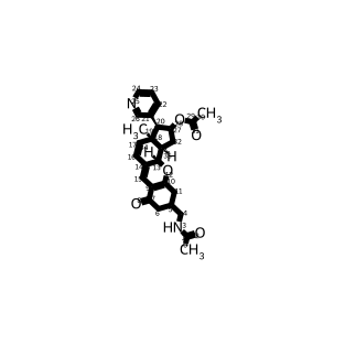 CC(=O)NCC1CC(=O)C2=C(C1)O[C@@H]1C(=C2)C=C[C@]2(C)[C@@H](c3cccnc3)C(OC(C)=O)C[C@@H]12